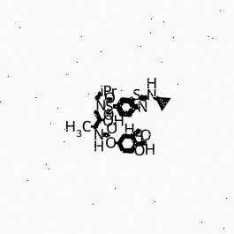 CC(C)CN(C[C@@H](O)[C@H](C)NC(=O)O[C@H]1C[C@H]2CO[C@H]3OC1C[C@@H]23)S(=O)(=O)c1ccc2nc(NC3CC3)sc2c1